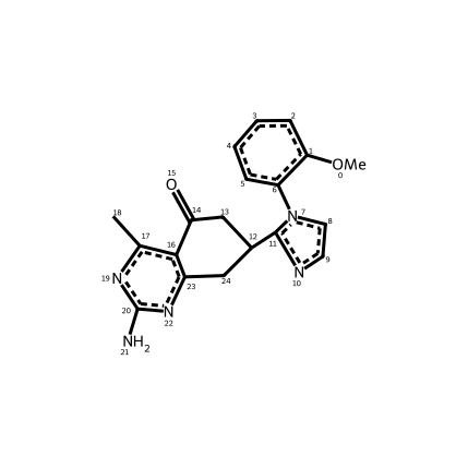 COc1ccccc1-n1ccnc1C1CC(=O)c2c(C)nc(N)nc2C1